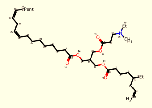 C=CCC(CC)CCCC(=O)OCC(COC(=O)CCCCCCC/C=C\C/C=C\CCCCC)COC(=O)CCN(C)CC